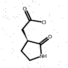 O=C(Cl)C[C@@H]1CCNC1=O